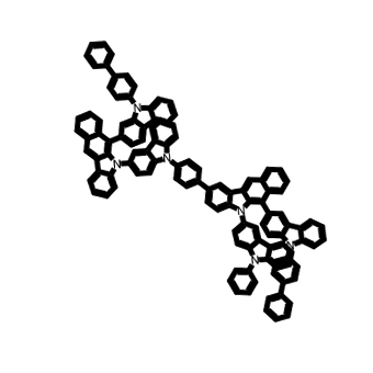 c1ccc(-c2ccc(-n3c4ccccc4c4cc(-c5c6ccccc6cc6c7cc(-c8ccc(-n9c%10ccccc%10c%10cc(-n%11c%12ccccc%12c%12cc%13ccccc%13c(-c%13ccc%14c%15ccccc%15n(-c%15ccc(-c%16ccccc%16)cc%15)c%14c%13)c%12%11)ccc%109)cc8)ccc7n(-c7ccc8c(c7)c7ccccc7n8-c7ccccc7)c56)ccc43)cc2)cc1